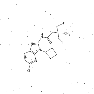 CC(CF)(CF)CC(=O)Nc1nc2ccc(Cl)nc2n1C1CCC1